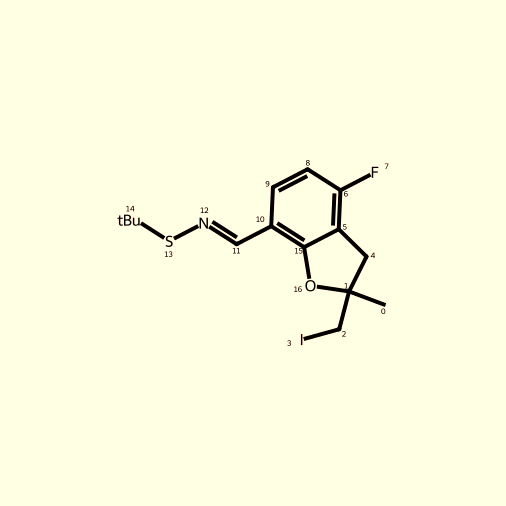 CC1(CI)Cc2c(F)ccc(C=NSC(C)(C)C)c2O1